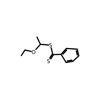 CCOC(C)SC(=S)c1ccccc1